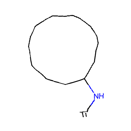 [Ti][NH]C1CCCCCCCCCC1